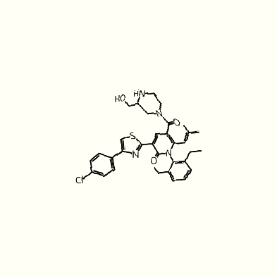 CCc1cccc(CC)c1-n1c(C=C(C)C)c(C(=O)N2CCNC(CO)C2)cc(-c2nc(-c3ccc(Cl)cc3)cs2)c1=O